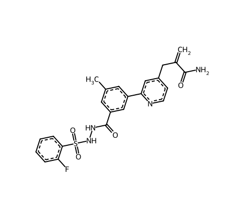 C=C(Cc1ccnc(-c2cc(C)cc(C(=O)NNS(=O)(=O)c3ccccc3F)c2)c1)C(N)=O